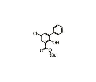 CC(C)(C)OC(=O)c1cc(Cl)cc(-c2ccccc2)c1O